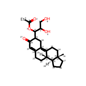 CCC(=O)OC(C(O)CO)C1CC2=C3CC[C@]4(C)CCC[C@H]4[C@@H]3CCC2=CC1=O